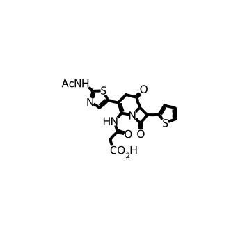 CC(=O)Nc1ncc(C2=C(NC(=O)CC(=O)O)N3C(=O)C(c4cccs4)C3C(=O)C2)s1